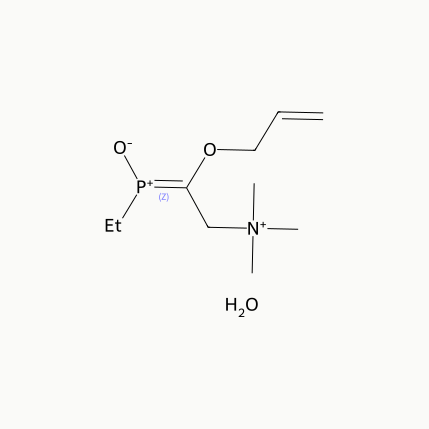 C=CCO/C(C[N+](C)(C)C)=[P+](\[O-])CC.O